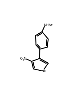 CC(=O)Nc1ccc(-c2c[nH]cc2[N+](=O)[O-])cc1